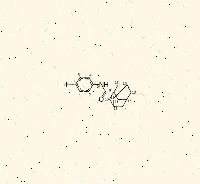 O=C(Nc1ccc(F)cc1)C12CC3CC(CC(C3)C1)C2